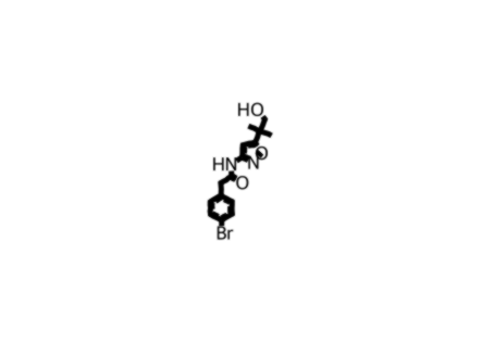 CC(C)(CO)c1cc(NC(=O)Cc2ccc(Br)cc2)no1